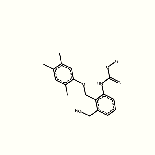 CCOC(=S)Nc1cccc(CO)c1COc1cc(C)c(C)cc1C